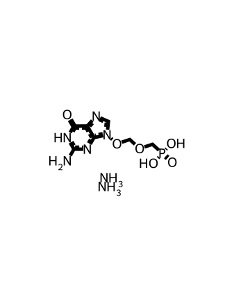 N.N.Nc1nc2c(ncn2OCOCP(=O)(O)O)c(=O)[nH]1